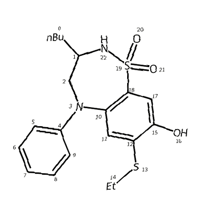 CCCCC1CN(c2ccccc2)c2cc(SCC)c(O)cc2S(=O)(=O)N1